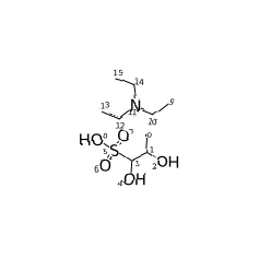 CC(O)C(O)S(=O)(=O)O.CCN(CC)CC